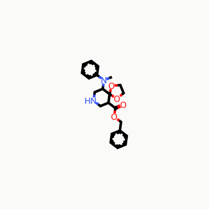 CN(c1ccccc1)C1CNCC(C(=O)OCc2ccccc2)C12OCCO2